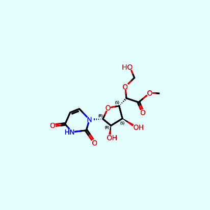 COC(=O)C(OCO)[C@H]1O[C@@H](n2ccc(=O)[nH]c2=O)[C@H](O)[C@@H]1O